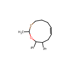 CC1OC(C(C)C)C(C(C)C)C/C=C\CCCS1